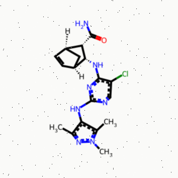 Cc1nn(C)c(C)c1Nc1ncc(Cl)c(N[C@H]2[C@@H](C(N)=O)[C@@H]3C=C[C@H]2C3)n1